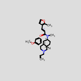 C=CCN1CC[C@@]2(c3cccc(OC)c3)C[C@@H](N(C)C(=O)/C=C/c3ccoc3C)CC[C@@H]2C1